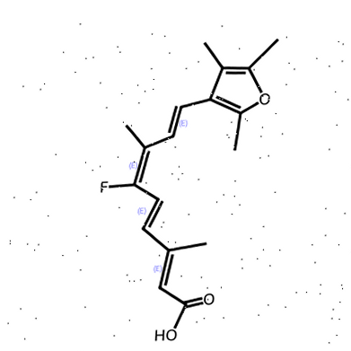 CC(/C=C/C(F)=C(C)\C=C\c1c(C)oc(C)c1C)=C\C(=O)O